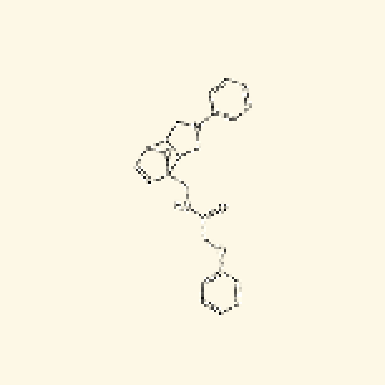 O=C(COc1ccccc1)NCC12C=CC(O1)C1CN(c3ccccc3)CC12